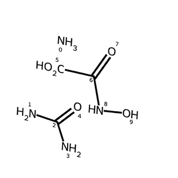 N.NC(N)=O.O=C(O)C(=O)NO